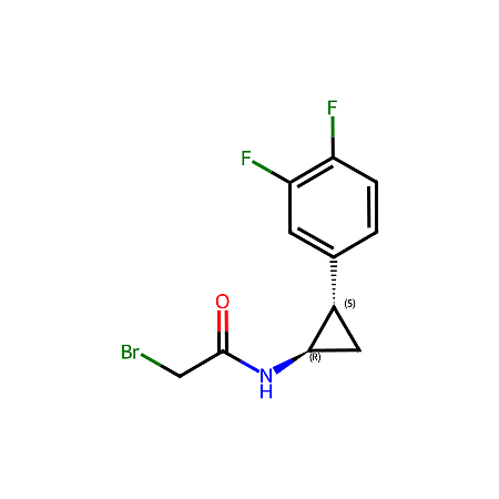 O=C(CBr)N[C@@H]1C[C@H]1c1ccc(F)c(F)c1